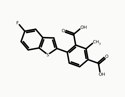 Cc1c(C(=O)O)ccc(-c2cc3cc(F)ccc3s2)c1C(=O)O